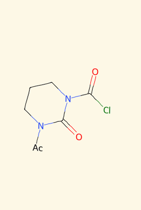 CC(=O)N1CCCN(C(=O)Cl)C1=O